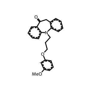 COc1[c]c(OCCCN2c3ccccc3CC(=O)c3ccccc32)ccc1